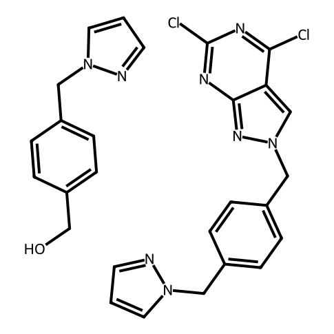 Clc1nc(Cl)c2cn(Cc3ccc(Cn4cccn4)cc3)nc2n1.OCc1ccc(Cn2cccn2)cc1